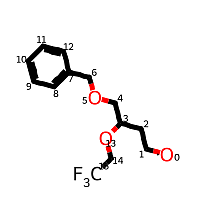 [O]CCC(COCc1ccccc1)OCC(F)(F)F